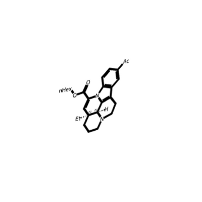 CCCCCCOC(=O)C1=C[C@]2(CC)CCCN3CCc4c(n1c1ccc(C(C)=O)cc41)[C@@H]32